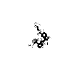 COCCNC(=O)c1ccc2[nH]cc(-c3cc4c(-c5c(C)noc5C)ccnc4[nH]3)c2c1